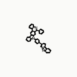 c1ccc(-c2nc3ccccc3c3cc4c5ccccc5n(-c5ccc(-c6ccc7c8ccccc8nn7c6)cc5)c4cc23)cc1